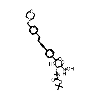 CC(C)(C)OC(=O)NC[C@H](NC(=O)c1ccc(C#C/C=C/c2ccc(CN3CCOCC3)cc2)cc1)C(=O)NO